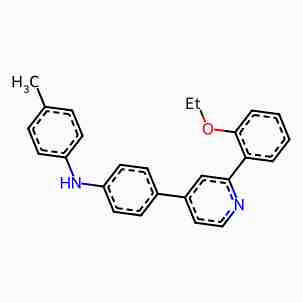 CCOc1ccccc1-c1cc(-c2ccc(Nc3ccc(C)cc3)cc2)ccn1